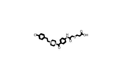 O=C(O)CCSCC(=O)Nc1ccc(C(=O)N2CCN(CCc3ccc(Cl)cc3)CC2)cc1